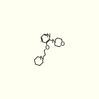 [c]1ccnc(N2CCOCC2)c1OCCN1CCCCC1